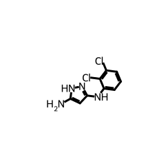 Nc1cc(Nc2cccc(Cl)c2Cl)n[nH]1